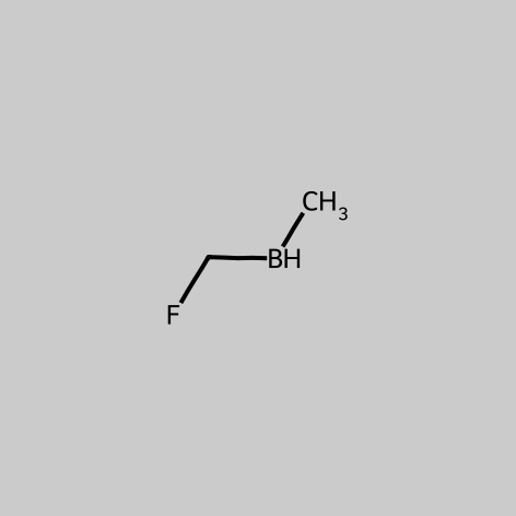 CBCF